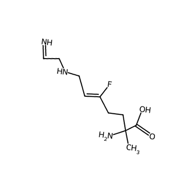 CC(N)(CCC(F)=CCNCC=N)C(=O)O